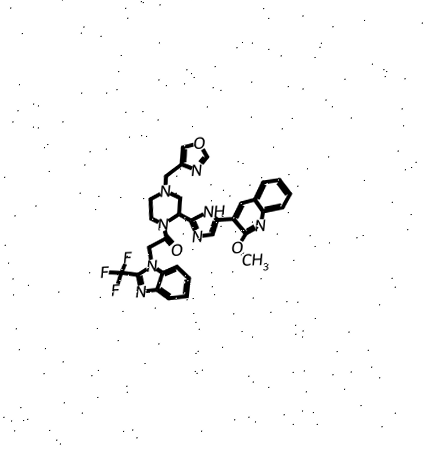 COc1nc2ccccc2cc1-c1cnc(C2CN(Cc3cocn3)CCN2C(=O)Cn2c(C(F)(F)F)nc3ccccc32)[nH]1